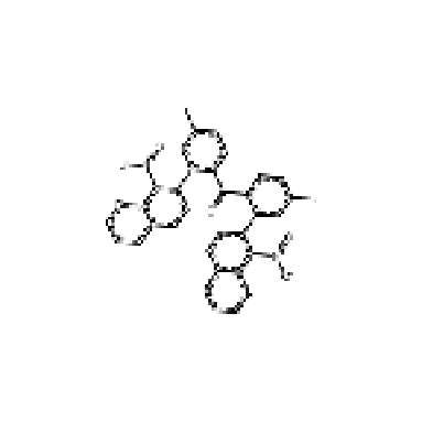 Cc1ccc(C(=O)c2ccc(C)cc2-c2ccc3cccnc3c2[N+](=O)[O-])c(-c2ccc3cccnc3c2[N+](=O)[O-])c1